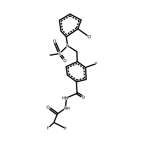 CS(=O)(=O)N(Cc1ccc(C(=O)NNC(=O)C(F)F)cc1F)c1ccccc1Cl